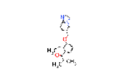 CCc1c(OCc2ccc3nccn3c2)cccc1C(=O)C(C)C